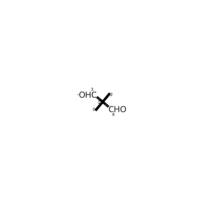 CC(C)([C]=O)C=O